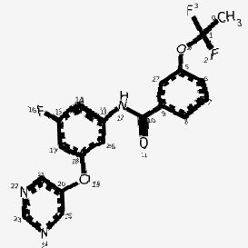 CC(F)(F)Oc1cccc(C(=O)Nc2cc(F)cc(Oc3cncnc3)c2)c1